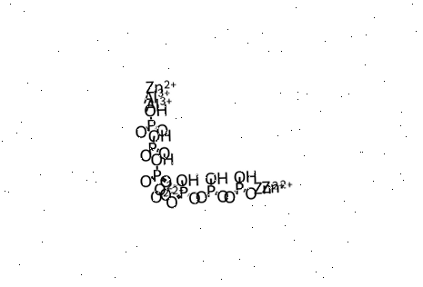 O=P(=O)O.O=P(=O)O.O=P(=O)O.O=P(=O)O.O=P(=O)O.O=P(=O)O.[Al+3].[Al+3].[O-2].[O-2].[O-2].[Zn+2].[Zn+2].[Zn+2]